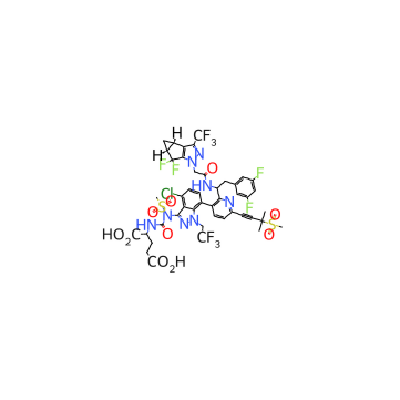 CC(C)(C#Cc1ccc(-c2ccc(Cl)c3c(N(C(=O)NC(CCC(=O)O)C(=O)O)S(C)(=O)=O)nn(CC(F)(F)F)c23)c(C(Cc2cc(F)cc(F)c2)NC(=O)Cn2nc(C(F)(F)F)c3c2C(F)(F)[C@@H]2C[C@H]32)n1)S(C)(=O)=O